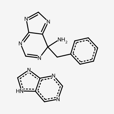 NC1(Cc2ccccc2)N=CN=C2N=CN=C21.c1ncc2[nH]cnc2n1